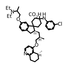 CCN(CC)C(C)COc1ccc2c(c1)C1(CCC(Nc3cccc(Cl)c3)(C(=O)O)CC1)[C@@H](C[C@@H](C)COc1ccnc3c1[C@H](C)CCC3)C2